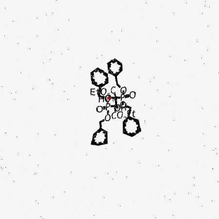 CCOC(=O)[C@](O)([C@@](O)(C(=O)OCC)P(=O)(OCc1ccccc1)OCc1ccccc1)P(=O)(OCc1ccccc1)OCc1ccccc1